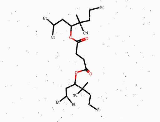 CCC(CC)CC(OC(=O)CCC(=O)OC(CC(CC)CC)C(C)(C#N)CCC(C)C)C(C)(C#N)CCC(C)C